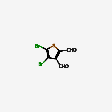 O=Cc1sc(Br)c(Br)c1C=O